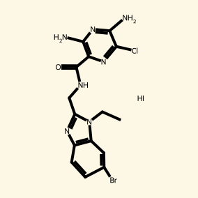 CCn1c(CNC(=O)c2nc(Cl)c(N)nc2N)nc2ccc(Br)cc21.I